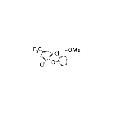 COCc1cccc(Oc2c(Cl)cc(C(F)(F)F)cc2Cl)c1